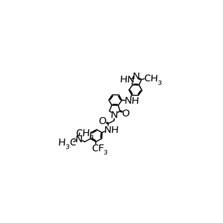 Cc1n[nH]c2cc(Nc3cccc4c3C(=O)N(CC(=O)Nc3ccc(CN(C)C)c(C(F)(F)F)c3)C4)ccc12